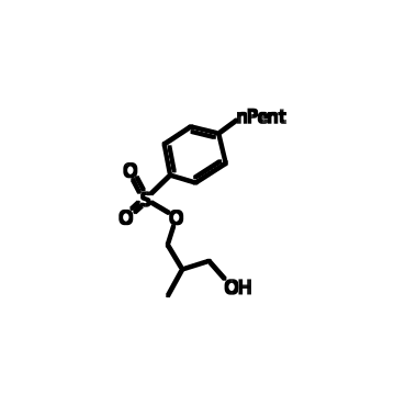 CCCCCc1ccc(S(=O)(=O)OCC(C)CO)cc1